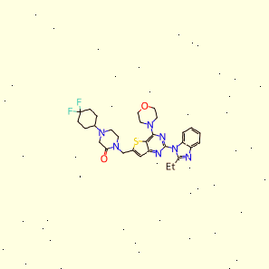 CCc1nc2ccccc2n1-c1nc(N2CCOCC2)c2sc(CN3CCN(C4CCC(F)(F)CC4)CC3=O)cc2n1